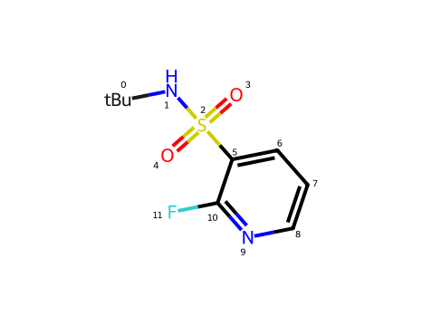 CC(C)(C)NS(=O)(=O)c1cccnc1F